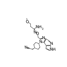 COCC/C(N)=N/OCc1nc2cnc3[nH]ccc3c2n1[C@H]1CC[C@H](CC#N)CC1